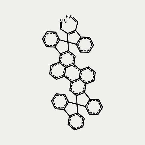 C=CC1=C(C=C)C2(c3ccccc31)c1ccccc1-c1c2cc2c3cccc4c5c(cc(c6cccc1c26)c43)C1(c2ccccc2-c2ccccc21)c1ccccc1-5